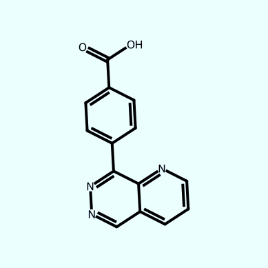 O=C(O)c1ccc(-c2nncc3cccnc23)cc1